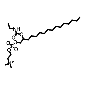 CCCCCCCCCCCCCCC(COP(=O)([O-])OCC[N+](C)(C)C)OC(=O)NCC